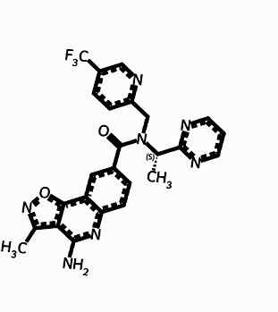 Cc1noc2c1c(N)nc1ccc(C(=O)N(Cc3ccc(C(F)(F)F)cn3)[C@@H](C)c3ncccn3)cc12